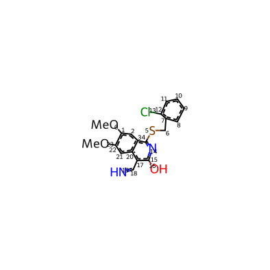 COc1cc2c(SCc3ccccc3Cl)nc(O)c(C=N)c2cc1OC